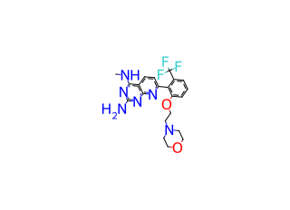 CNc1nc(N)nc2nc(-c3c(OCCN4CCOCC4)cccc3C(F)(F)F)ccc12